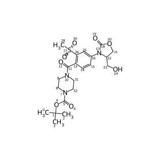 CC(C)(C)OC(=O)N1CCN(C(=O)c2ccc(N3C(=O)OCC3CO)cc2S(C)(=O)=O)CC1